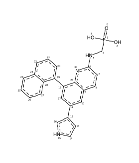 O=P(O)(O)CNc1ccc2cc(-c3cc[nH]c3)cc(-c3cccc4ccccc34)c2n1